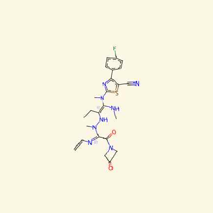 C=C/N=C(/C(=O)N1CC(=O)C1)N(C)N/C(CC)=C(\NC)N(C)c1nc(-c2ccc(F)cc2)c(C#N)s1